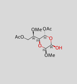 CO[C@H]1O[C@@H]([C@@H](COC(C)=O)OC)[C@H](OC(C)=O)O[C@H]1O